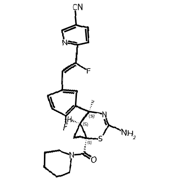 C[C@]1(c2cc(C=C(F)c3ccc(C#N)cn3)ccc2F)N=C(N)S[C@@]2(C(=O)N3CCCCC3)C[C@H]21